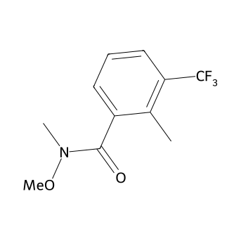 CON(C)C(=O)c1cccc(C(F)(F)F)c1C